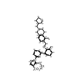 CCOc1c(C(=O)O)cnn1-c1cccc(-c2cccc(C)c2OCc2ccc3c(c2C)CCN(CC2CCOC2)C3)n1